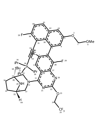 COCOc1cc(-c2c(C#N)cc3c(N4C[C@@H]5CC[C@@](C(C)(C)C)(C4)N5)nc(OCC(F)(F)F)nc3c2F)c2c(C#C[Si](C(C)C)(C(C)C)C(C)C)c(F)ccc2c1